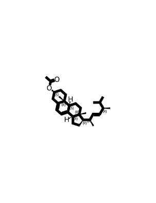 CC(=O)O[C@H]1CC[C@@]2(C)C(=CC=C3[C@@H]4CC[C@H]([C@H](C)C=C[C@H](C)C(C)C)[C@@]4(C)CC[C@@H]32)C1